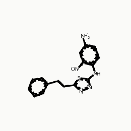 Nc1ccc(Nc2nnc(CCc3ccccc3)s2)c(N=O)c1